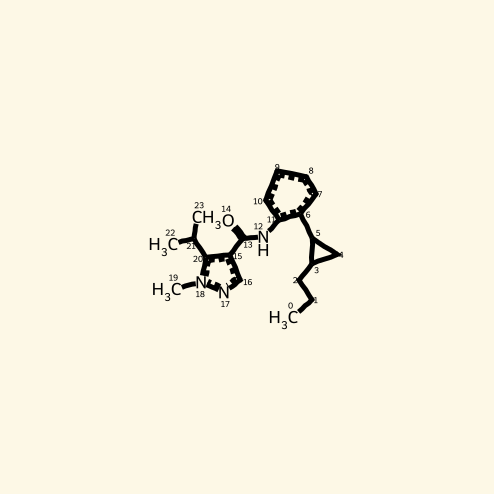 CCCC1CC1c1ccccc1NC(=O)c1cnn(C)c1C(C)C